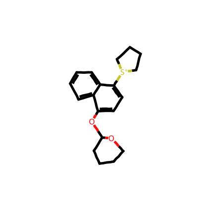 c1ccc2c([S+]3CCCC3)ccc(OC3CCCCO3)c2c1